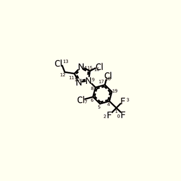 FC(F)(F)c1cc(Cl)c(-n2nc(CCl)nc2Cl)c(Cl)c1